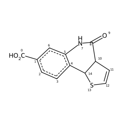 O=C(O)c1ccc2c(c1)NC(=O)C1C=CSC21